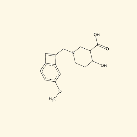 COc1ccc2c(c1)C(CN1CCC(O)C(C(=O)O)C1)=C2